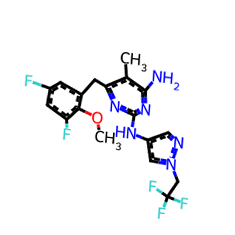 COc1c(F)cc(F)cc1Cc1nc(Nc2cnn(CC(F)(F)F)c2)nc(N)c1C